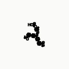 Cc1cc(OCC=C(c2ccc(-c3cccc(C(=O)N(C)C)c3)cc2)c2ccc(-c3cccc(C(=O)N(C)C)c3)cc2)ccc1OCC(=O)O